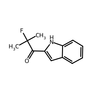 CC(C)(F)C(=O)c1cc2ccccc2[nH]1